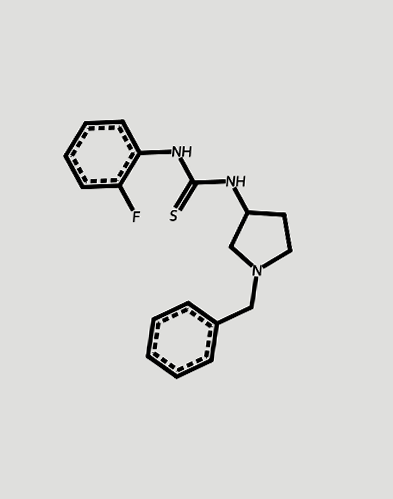 Fc1ccccc1NC(=S)NC1CCN(Cc2ccccc2)C1